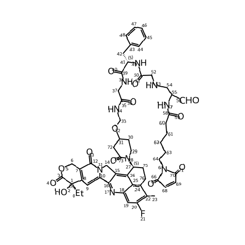 CC[C@@]1(O)C(=O)OCc2c1cc1n(c2=O)Cc2c-1nc1cc(F)c(C)c3c1c2[C@@H](N1CCC(OCNC(=O)CNC(=O)[C@H](Cc2ccccc2)NC(=O)CNCC(C=O)NC(=O)CCCCCN2C(=O)C=CC2=O)CC1=O)CC3